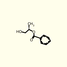 C[C@H](CO)OC(=O)c1ccccc1